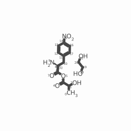 CC(O)C(=O)OC(=O)[C@@H](N)Cc1ccc([N+](=O)[O-])cc1.OCCO